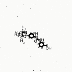 CC1(C)OB(c2ccc(NC(=O)Nc3cccc(CO)c3)cc2)OC1(C)C